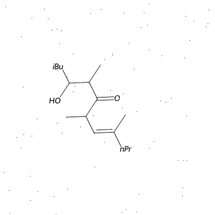 CCCC(C)=CC(C)C(=O)C(C)C(O)C(C)CC